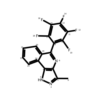 Cc1n[nH]c2c1nc(-c1c(F)c(F)c(F)c(F)c1F)c1ccccc12